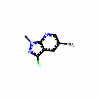 Cn1nc(Cl)c2cc([N+](=O)[O-])cnc21